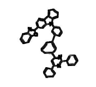 c1ccc(-c2cc(-c3cccc(-c4cccc(-n5c6ccccc6c6ccc(-c7nc8ccccc8o7)cc65)c4)c3)nc(-c3ccccc3)n2)cc1